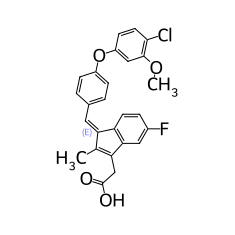 COc1cc(Oc2ccc(/C=C3/C(C)=C(CC(=O)O)c4cc(F)ccc43)cc2)ccc1Cl